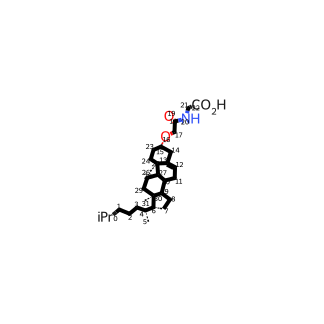 CC(C)CCC[C@@H](C)[C@H]1CCC2C3CC=C4C[C@@H](OCC(=O)NCC(=O)O)CC[C@]4(C)C3CC[C@@]21C